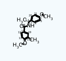 COc1ccc([C@@H](C)NC(=O)c2ccc(OC)c(C)c2)cc1